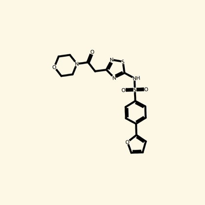 O=C(Cc1nsc(NS(=O)(=O)c2ccc(-c3ccco3)cc2)n1)N1CCOCC1